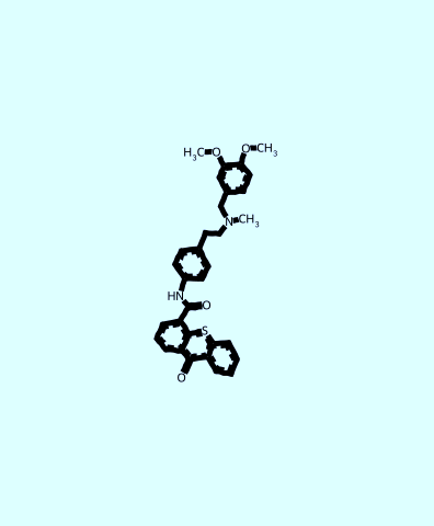 COc1ccc(CN(C)CCc2ccc(NC(=O)c3cccc4c(=O)c5ccccc5sc34)cc2)cc1OC